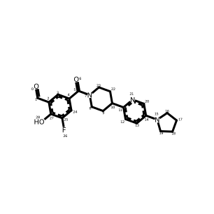 O=Cc1cc(C(=O)N2CCC(c3ccc(N4CCCC4)cn3)CC2)cc(F)c1O